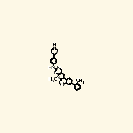 Cc1ccccc1-c1ccc(-c2cc3cnc(Nc4ccc(C5CCNCC5)cc4)nc3n(C)c2=O)c(Cl)c1